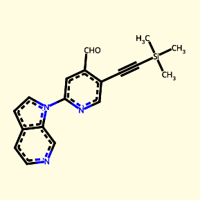 C[Si](C)(C)C#Cc1cnc(-n2ccc3ccncc32)cc1C=O